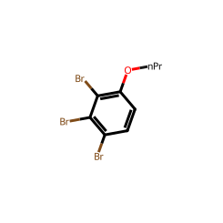 CCCOc1ccc(Br)c(Br)c1Br